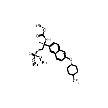 CC(C)(C)OC(=O)N[C@@](C)(COP(=O)(OC(C)(C)C)OC(C)(C)C)c1ccc2cc(O[C@H]3CC[C@H](C(F)(F)F)CC3)ccc2c1